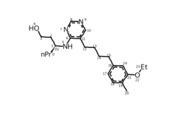 CCC[C@@H](CCO)Nc1ncncc1CCCCc1ccc(C)c(OCC)c1